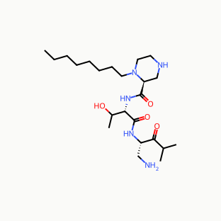 CCCCCCCCN1CCNC[C@H]1C(=O)N[C@H](C(=O)N[C@@H](CN)C(=O)C(C)C)C(C)O